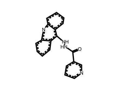 O=C(NNc1c2ccccc2nc2ccccc12)c1cccnc1